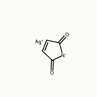 O=C1C=CC(=O)[N-]1.[Ag+]